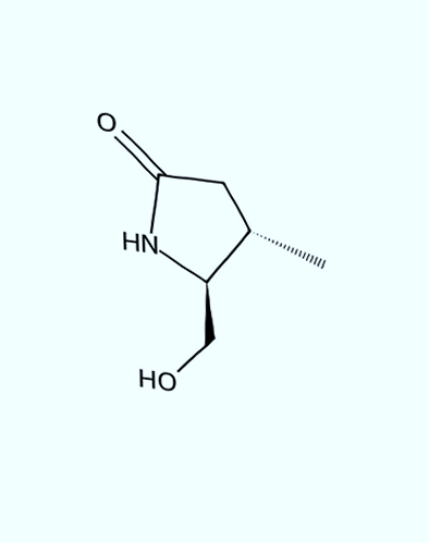 C[C@H]1CC(=O)N[C@@H]1CO